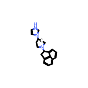 C1=CN(C2CCN(C3Cc4cccc5cccc3c45)CC2)CN1